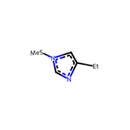 CCc1cn(SC)cn1